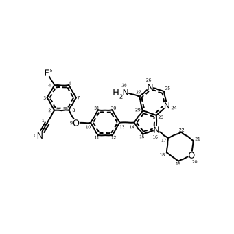 N#Cc1cc(F)ccc1Oc1ccc(-c2cn(C3CCOCC3)c3ncnc(N)c23)cc1